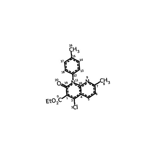 CCOC(=O)c1c(Cl)c2ccc(C)nc2n(-c2ccc(C)cc2)c1=O